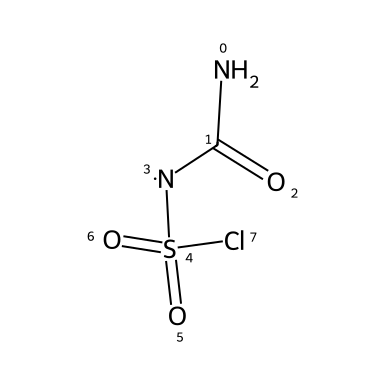 NC(=O)[N]S(=O)(=O)Cl